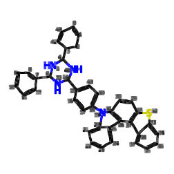 C1=CCC(C2NC(c3ccccc3)NC(c3ccc(-n4c5ccccc5c5c6c(ccc54)sc4ccccc46)cc3)N2)C=C1